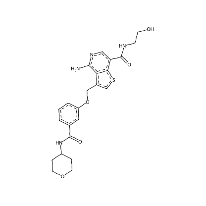 Nc1ncc(C(=O)NCCO)c2scc(COc3cccc(C(=O)NC4CCOCC4)c3)c12